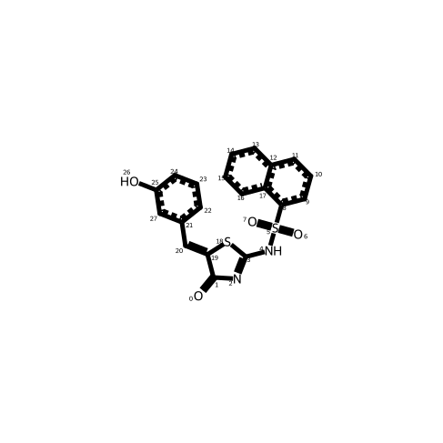 O=C1N=C(NS(=O)(=O)c2cccc3ccccc23)SC1=Cc1cccc(O)c1